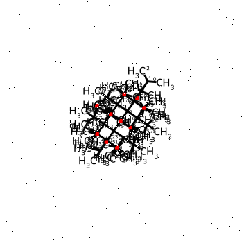 CC(C)C(C)(C)C(C(C)(C)C)(C(C)(C)C)C(C(C(=O)O)(C(=O)O)C(C(C(C)(C)C)(C(C)(C)C)C(C)(C)C)(C(C(C)(C)C)(C(C)(C)C)C(C)(C)C)C(C(C)(C)C)(C(C)(C)C)C(C)(C)C)(C(C(C)(C)C)(C(C)(C)C)C(C)(C)C)C(C(C)(C)C)(C(C)(C)C)C(C)(C)C